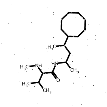 CNC(C(=O)NC(C)CC(C)C1CCCCCCC1)C(C)C